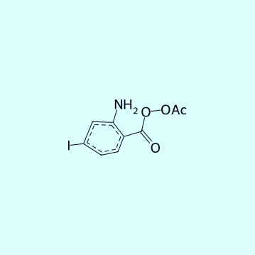 CC(=O)OOC(=O)c1ccc(I)cc1N